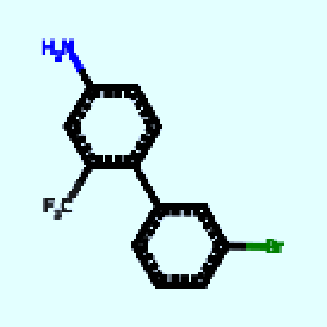 Nc1ccc(-c2cccc(Br)c2)c(C(F)(F)F)c1